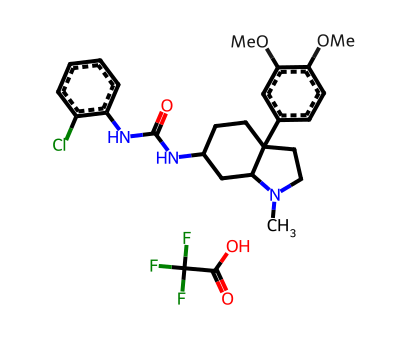 COc1ccc(C23CCC(NC(=O)Nc4ccccc4Cl)CC2N(C)CC3)cc1OC.O=C(O)C(F)(F)F